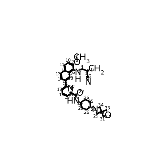 C=C(C#N)CNc1c(OC)ccc2ccc(-c3cccc(C(=O)N[C@H]4CC[C@H](N5CC6(COC6)C5)CC4)n3)cc12